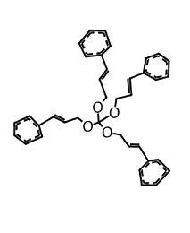 C(=Cc1ccccc1)COC(OCC=Cc1ccccc1)(OCC=Cc1ccccc1)OCC=Cc1ccccc1